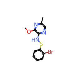 COc1nc(C)cnc1NSc1ccccc1Br